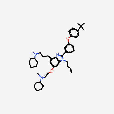 CCCCn1c(-c2cccc(Oc3ccc(C(C)(C)C)cc3)c2)nc2c(CCCN(C)C3CCCCC3)cc(OCCN(C)C3CCCCC3)cc21